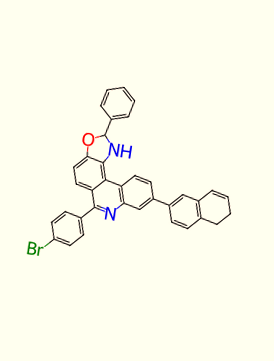 Brc1ccc(-c2nc3cc(-c4ccc5c(c4)C=CCC5)ccc3c3c4c(ccc23)OC(c2ccccc2)N4)cc1